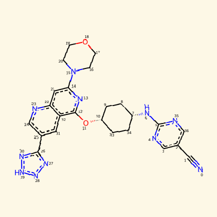 N#Cc1cnc(N[C@H]2CC[C@@H](Oc3nc(N4CCOCC4)cc4ncc(-c5nn[nH]n5)cc34)CC2)nc1